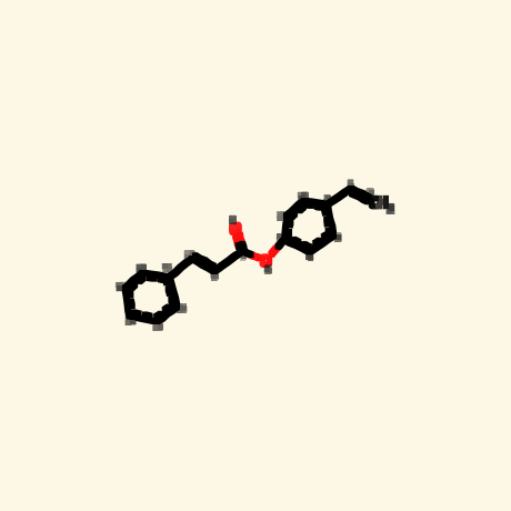 C=Cc1ccc(OC(=O)C=Cc2ccccc2)cc1